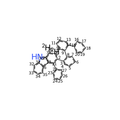 [2H]c1c(-c2ccccc2-c2ccccc2-c2ccccc2)c(-c2ccccc2)c2c([nH]c3ccccc32)c1[2H]